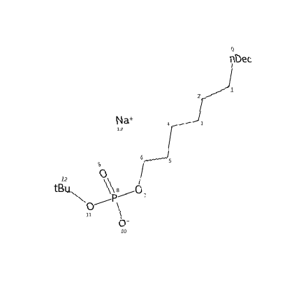 CCCCCCCCCCCCCCCCOP(=O)([O-])OC(C)(C)C.[Na+]